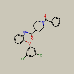 O=C(Nc1ccccc1Oc1cc(Cl)cc(Cl)c1)C1CCN(C(=O)c2ccccc2)CC1